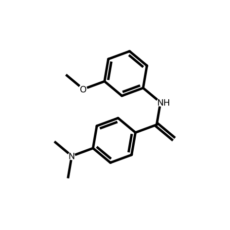 C=C(Nc1cccc(OC)c1)c1ccc(N(C)C)cc1